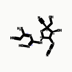 N#C[C@]1(CO)O[C@@H](NC(=N/O)/N=C(/N)C=N)C(N=[N+]=[N-])[C@@H]1O